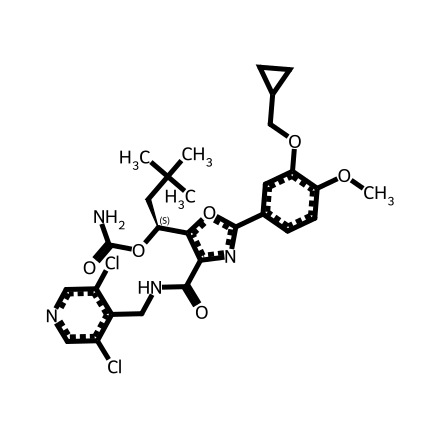 COc1ccc(-c2nc(C(=O)NCc3c(Cl)cncc3Cl)c([C@H](CC(C)(C)C)OC(N)=O)o2)cc1OCC1CC1